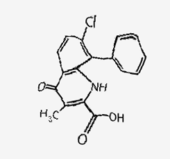 Cc1c(C(=O)O)[nH]c2c(-c3ccccc3)c(Cl)ccc2c1=O